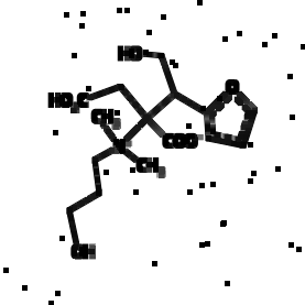 C[N+](C)(CCCO)C(CC(=O)O)(C(=O)[O-])C(CO)c1ccco1